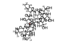 CO[C@@H](CNC(=O)[C@H](NC(=O)[C@H](O)[C@H](C)O)[C@H](O)c1cncn1C)[C@H](O)[C@H](O)C(=O)N(C)[C@@H](Cc1ccccc1)C(=O)NCC(=O)N[C@H](C(=O)N[C@@H](CO)C(=O)N[C@H](C(=O)N[C@@H](CC(C)C)C(=O)N[C@@H](CCO)C(=O)O)C(C)(C)O)C(C)(C)O